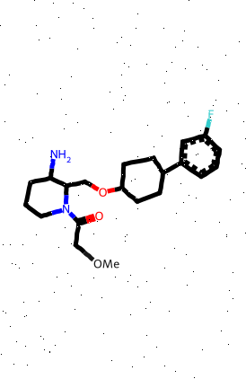 COCC(=O)N1CCCC(N)C1COC1CCC(c2cccc(F)c2)CC1